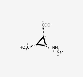 N.O=C(O)[C@H]1O[C@H]1C(=O)[O-].[Na+]